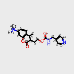 CCN(CC)c1ccc2c(c1)OC(=O)C(CCOC(=O)NCc1ccncc1)C2C